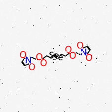 O=C(CC[Se][Se]CCC(=O)OCCN1C(=O)C=CC1=O)OCCN1C(=O)C=CC1=O